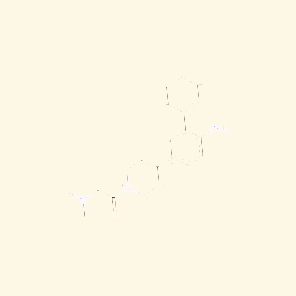 CN(C)CC(=O)N1CCC(c2ccc(N)c(C3=CCCCC3)c2)CC1